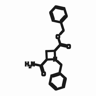 NC(=O)C1CC(C(=O)OCc2ccccc2)N1Cc1ccccc1